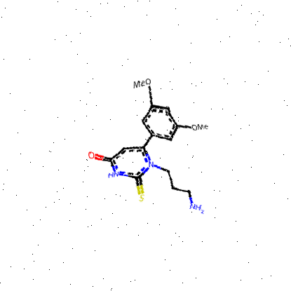 COc1cc(OC)cc(-c2cc(=O)[nH]c(=S)n2CCCN)c1